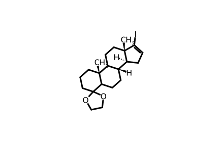 C[C@]12CCCC3(OCCO3)C1CC[C@@H]1C2CC[C@]2(C)C(I)=CC[C@@H]12